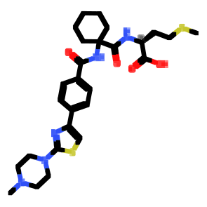 CSCC[C@H](NC(=O)C1(NC(=O)c2ccc(-c3csc(N4CCN(C)CC4)n3)cc2)CCCCC1)C(=O)O